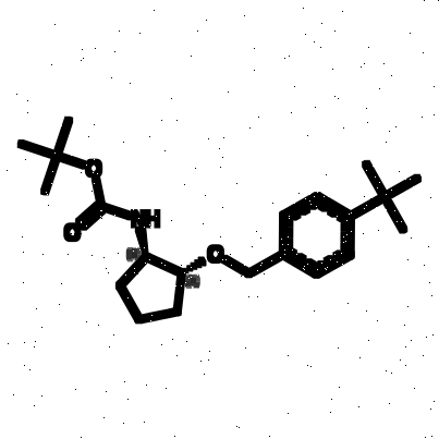 CC(C)(C)OC(=O)N[C@@H]1CCC[C@H]1OCc1ccc(C(C)(C)C)cc1